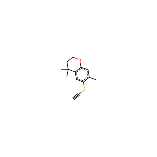 C#CSc1cc2c(cc1C)OCCC2(C)C